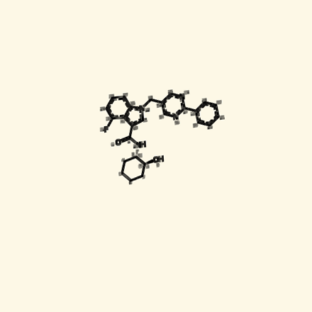 O=C(N[C@H]1CCCC[C@@H]1O)c1cn(Cc2cnc(-c3ccccc3)nc2)c2cccc(F)c12